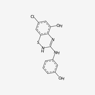 Oc1cccc(NC2=Nc3c(O)cc(Cl)cc3SN2)c1